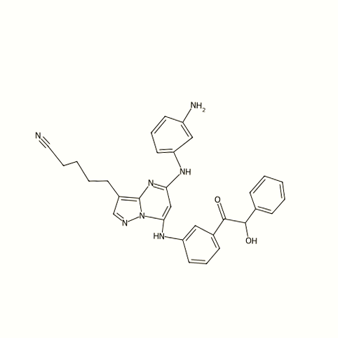 N#CCCCCc1cnn2c(Nc3cccc(C(=O)C(O)c4ccccc4)c3)cc(Nc3cccc(N)c3)nc12